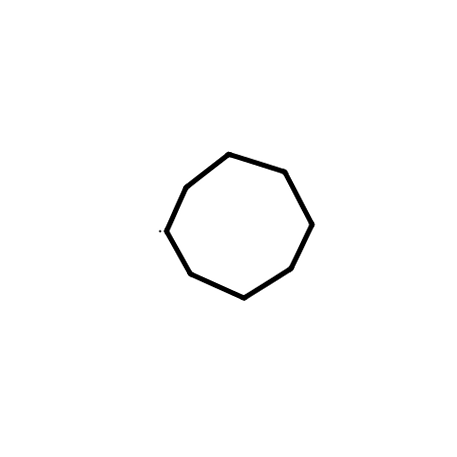 [CH]1CCCCCCC1